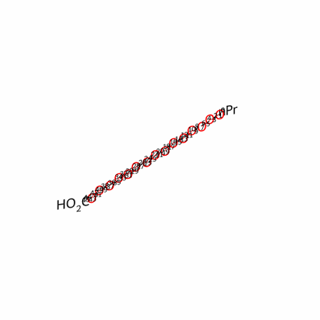 CCCOCCOCCOCCOCCOCCOCCOCCOCCOCCOCCOCCOCCOCCOCCOCC(=O)O